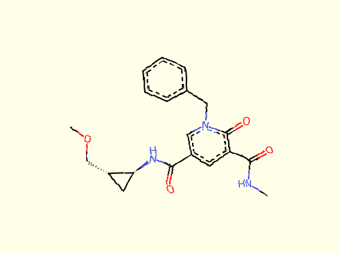 CNC(=O)c1cc(C(=O)N[C@H]2C[C@@H]2COC)cn(Cc2ccccc2)c1=O